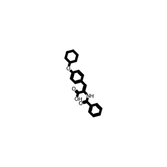 O=C(O)/C(=C\c1ccc(OC2CCCCC2)cc1)NC(=O)c1ccccc1